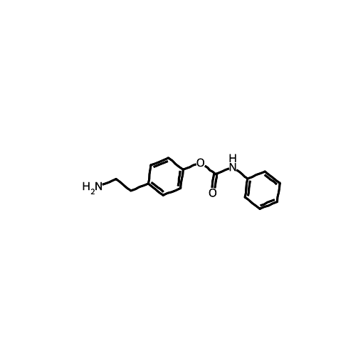 NCCc1ccc(OC(=O)Nc2ccccc2)cc1